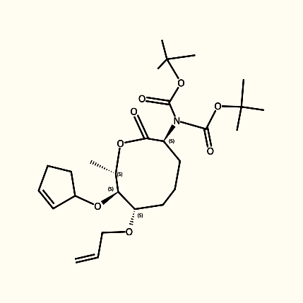 C=CCO[C@H]1CCC[C@H](N(C(=O)OC(C)(C)C)C(=O)OC(C)(C)C)C(=O)O[C@@H](C)[C@@H]1OC1C=CCC1